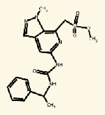 COS(=O)(=O)Cc1nc(NC(=O)NC(C)c2ccccc2)cc2cnn(C)c12